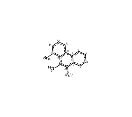 Cn1c(=N)c2ccccc2c2cccc(Br)c21